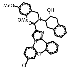 COc1ccc(CN(C(=O)c2cn(-c3ccc(Cl)cc3)c(-c3ccccc3Cl)n2)[C@@H]2Cc3ccccc3C[C@H]2O)c(OC)c1